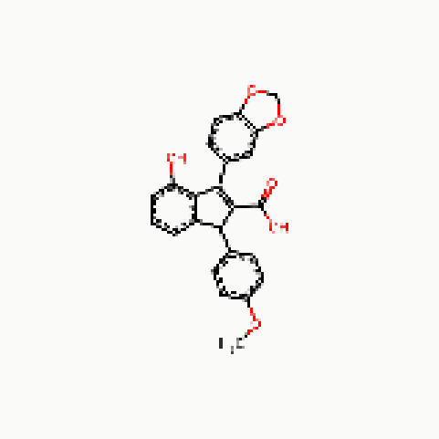 COc1ccc(C2C(C(=O)O)=C(c3ccc4c(c3)OCO4)c3c(O)cccc32)cc1